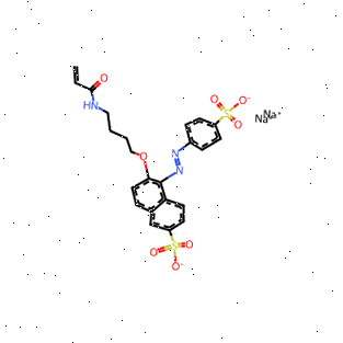 C=CC(=O)NCCCCOc1ccc2cc(S(=O)(=O)[O-])ccc2c1N=Nc1ccc(S(=O)(=O)[O-])cc1.[Na+].[Na+]